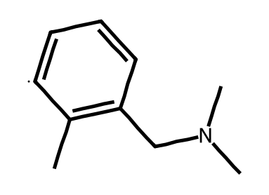 Cc1[c]cccc1CN(C)C